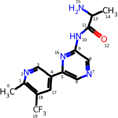 Cc1ncc(-c2cncc(NC(=O)C(C)N)n2)cc1C(F)(F)F